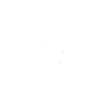 CC(C)c1cc(-c2ccc(-c3ccccc3)o2)cc(C(C)C)c1-n1cccc1-c1ccccc1